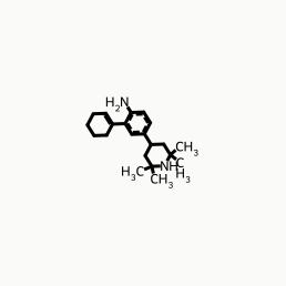 CC1(C)CC(c2ccc(N)c(C3=CCCCC3)c2)CC(C)(C)N1